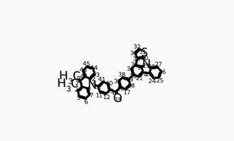 CC1(C)c2ccccc2N(c2ccc(C(=O)c3ccc(-c4cc5c6ccccc6n6c7sccc7c(c4)c56)cc3)cc2)c2ccccc21